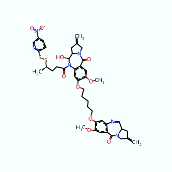 C=C1CC2C=Nc3cc(OCCCCCOc4cc5c(cc4OC)C(=O)N4CC(=C)CC4C(O)N5C(=O)CC[C@@H](C)SSc4ccc([N+](=O)[O-])cn4)c(OC)cc3C(=O)N2C1